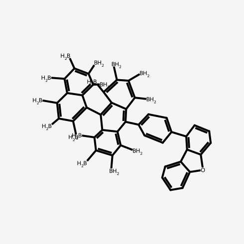 Bc1c(B)c(B)c2c(-c3c4c(B)c(B)c(B)c(B)c4c(-c4ccc(-c5cccc6oc7ccccc7c56)cc4)c4c(B)c(B)c(B)c(B)c34)c(B)c(B)c(B)c2c1B